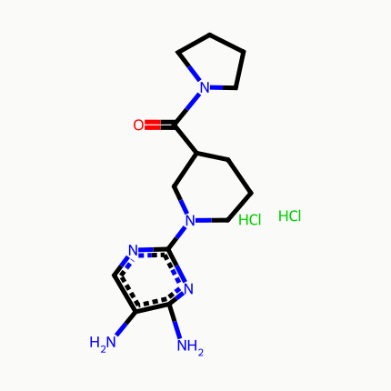 Cl.Cl.Nc1cnc(N2CCCC(C(=O)N3CCCC3)C2)nc1N